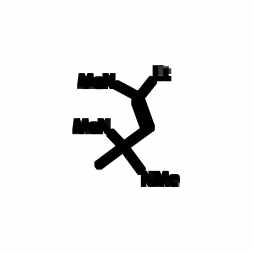 CC/C(=C/C(C)(NC)NC)NC